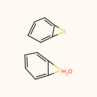 O.c1ccc2c(c1)S2.c1ccc2c(c1)S2